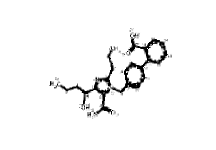 CCCc1nc(C(O)CCC)c(C(N)=O)n1Cc1ccc(-c2ccccc2C(=O)O)cc1